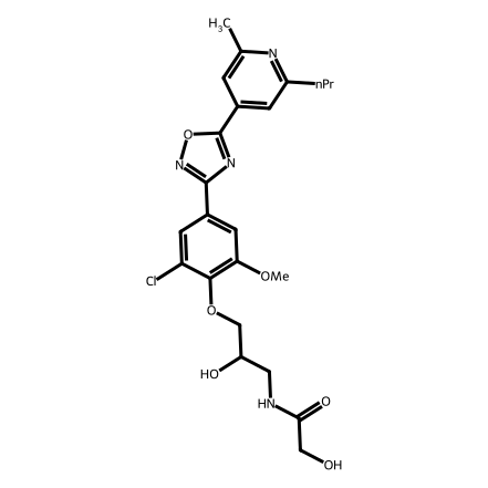 CCCc1cc(-c2nc(-c3cc(Cl)c(OCC(O)CNC(=O)CO)c(OC)c3)no2)cc(C)n1